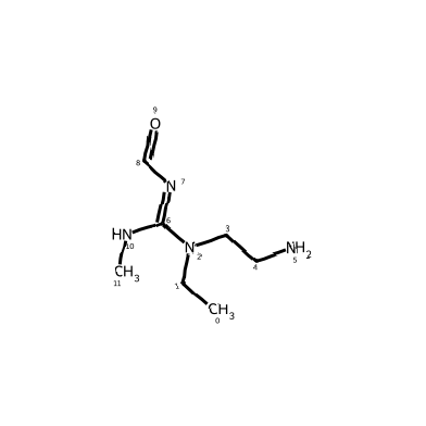 CCN(CCN)/C(=N/C=O)NC